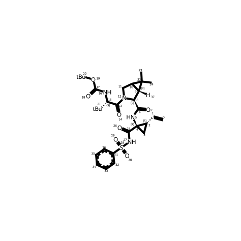 C=C[C@@H]1C[C@]1(NC(=O)[C@@H]1[C@@H]2C(CN1C(=O)[C@@H](NC(=O)OC(C)(C)C)C(C)(C)C)C2(C)C)C(=O)NS(=O)(=O)c1ccccc1